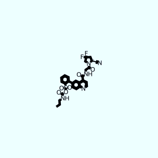 CCCNC(=O)OS(=O)(=O)c1ccccc1-c1ccc2nccc(C(=O)NCC(=O)N3CC(F)(F)C[C@H]3C#N)c2c1